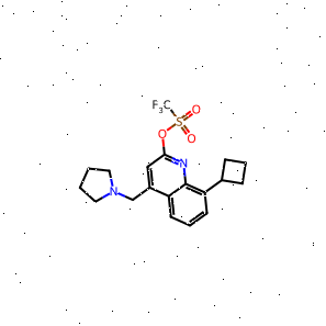 O=S(=O)(Oc1cc(CN2CCCC2)c2cccc(C3CCC3)c2n1)C(F)(F)F